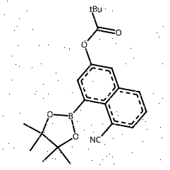 CC(C)(C)C(=O)Oc1cc(B2OC(C)(C)C(C)(C)O2)c2c(C#N)cccc2c1